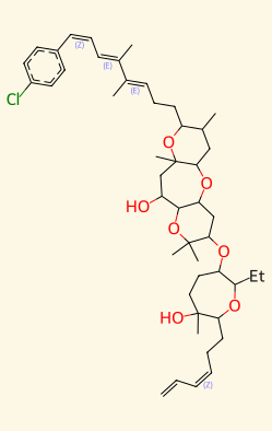 C=C/C=C\CCC1OC(CC)C(OC2CC3OC4CC(C)C(CC/C=C(C)/C(C)=C/C=C\c5ccc(Cl)cc5)OC4(C)CC(O)C3OC2(C)C)CCC1(C)O